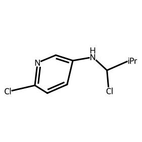 CC(C)C(Cl)Nc1ccc(Cl)nc1